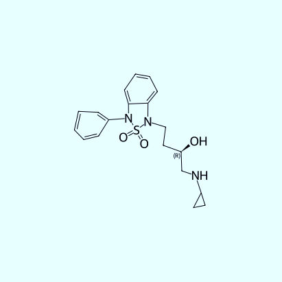 O=S1(=O)N(CC[C@@H](O)CNC2CC2)c2ccccc2N1c1ccccc1